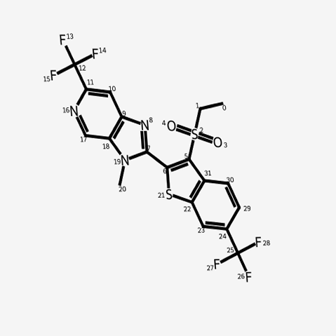 CCS(=O)(=O)c1c(-c2nc3cc(C(F)(F)F)ncc3n2C)sc2cc(C(F)(F)F)ccc12